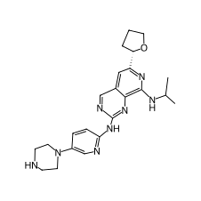 CC(C)Nc1nc([C@@H]2CCCO2)cc2cnc(Nc3ccc(N4CCNCC4)cn3)nc12